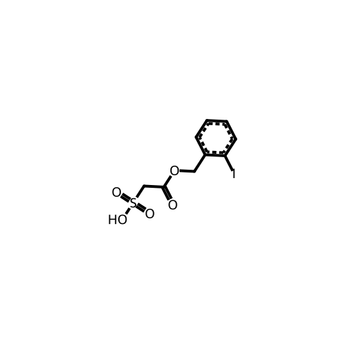 O=C(CS(=O)(=O)O)OCc1ccccc1I